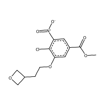 COC(=O)c1cc(OCCC2COC2)c(Cl)c([N+](=O)[O-])c1